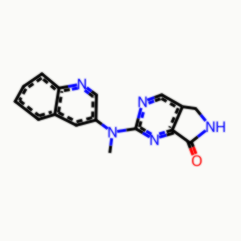 CN(c1cnc2ccccc2c1)c1ncc2c(n1)C(=O)NC2